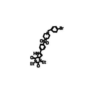 CCn1c(=O)c2[nH]c(-c3ccc(S(=O)(=O)N4CCN(Cc5ccc(Br)cc5)CC4)cc3)cc2n(CC)c1=O